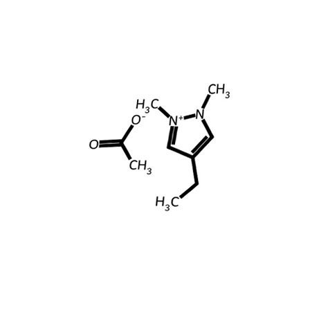 CC(=O)[O-].CCc1cn(C)[n+](C)c1